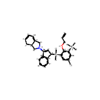 C=CCOc1c([Si](C)(C)C)cc(C)cc1[Si](C)(C)C1C=C(N2CC3=CC=CCC3C2)c2ccccc21